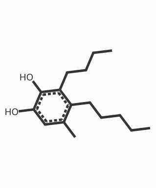 CCCCCc1c(C)cc(O)c(O)c1CCCC